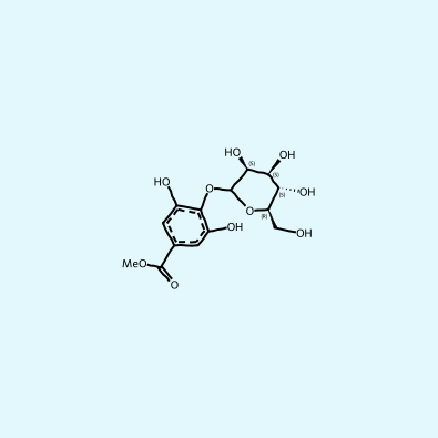 COC(=O)c1cc(O)c(OC2O[C@H](CO)[C@@H](O)[C@H](O)[C@@H]2O)c(O)c1